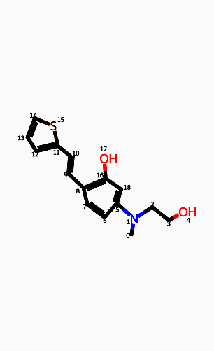 CN(CCO)c1ccc(/C=C/c2cccs2)c(O)c1